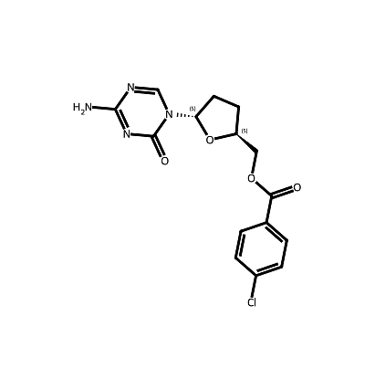 Nc1ncn([C@@H]2CC[C@@H](COC(=O)c3ccc(Cl)cc3)O2)c(=O)n1